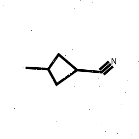 [CH2]C1CC(C#N)C1